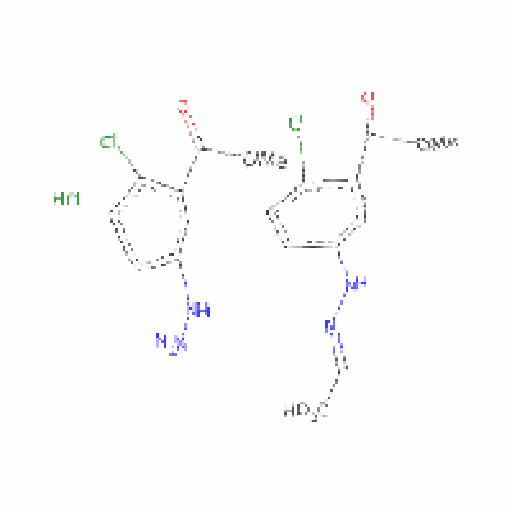 COC(=O)c1cc(N/N=C/C(=O)O)ccc1Cl.COC(=O)c1cc(NN)ccc1Cl.Cl